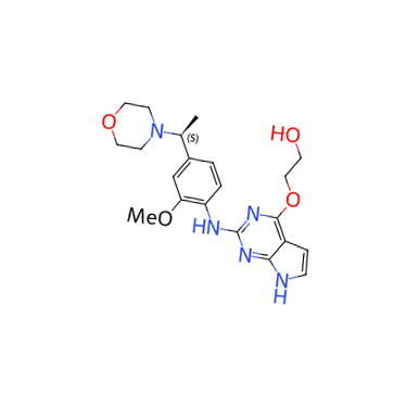 COc1cc([C@H](C)N2CCOCC2)ccc1Nc1nc(OCCO)c2cc[nH]c2n1